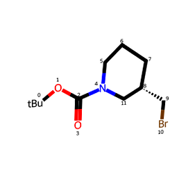 CC(C)(C)OC(=O)N1CCC[C@H](CBr)C1